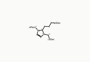 CCCCCCCCCCCCCC1N(CCCCC)C=CN1CCCCCCCCCCC